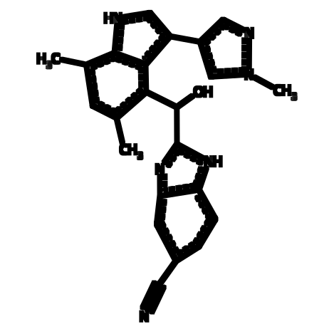 Cc1cc(C)c2[nH]cc(-c3cnn(C)c3)c2c1C(O)c1nc2cc(C#N)ccc2[nH]1